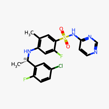 Cc1cc(S(=O)(=O)Nc2ccncn2)c(F)cc1N[C@@H](C)c1cc(Cl)ccc1F